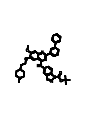 COc1cc2nc(-c3cccc(-c4ccccc4)c3)nc(Nc3ccc4c(cnn4C(=O)OC(C)(C)C)c3)c2cc1OCCN1CCN(C)CC1